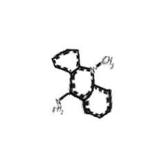 C[n+]1c2ccccc2c(N)c2ccccc21.[I-]